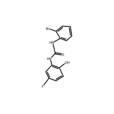 O=C(Nc1cc(F)ccc1O)Nc1ccccc1Br